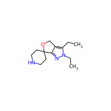 CCc1c2c(nn1CC)C1(CCNCC1)OC2